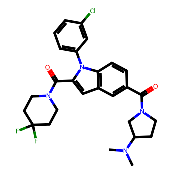 CN(C)C1CCN(C(=O)c2ccc3c(c2)cc(C(=O)N2CCC(F)(F)CC2)n3-c2cccc(Cl)c2)C1